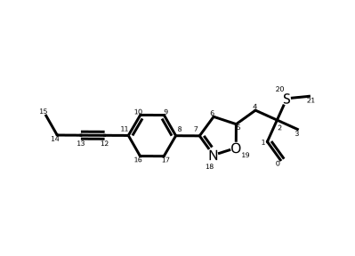 C=CC(C)(CC1CC(C2=CC=C(C#CCC)CC2)=NO1)SC